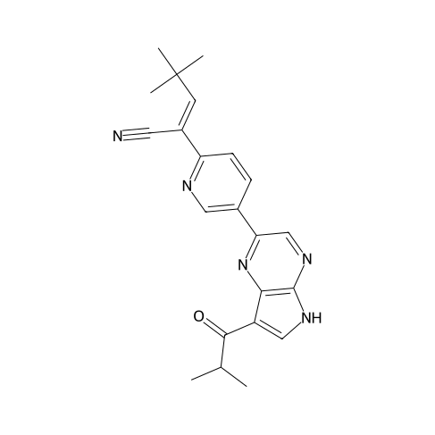 CC(C)C(=O)c1c[nH]c2ncc(-c3ccc(C(C#N)=CC(C)(C)C)nc3)nc12